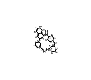 N#Cc1cccc(-c2cc(NC3CCN(CC4CNCCO4)CC3)c3cnccc3c2)c1